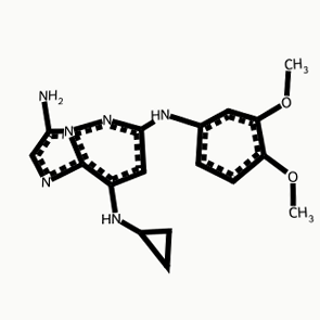 COc1ccc(Nc2cc(NC3CC3)c3ncc(N)n3n2)cc1OC